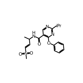 CC(/C=C/S(C)(=O)=O)NC(=O)c1cnc(C(C)C)nc1Oc1ccccc1